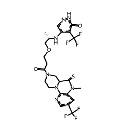 C[C@@H](COCCC(=O)N1CCN2c3ncc(C(F)(F)F)cc3N(C)C(=S)C2C1)Nc1cn[nH]c(=O)c1C(F)(F)F